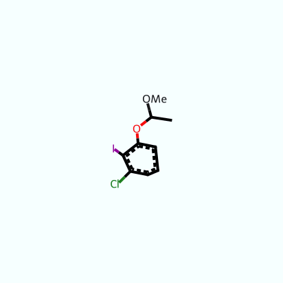 COC(C)Oc1cccc(Cl)c1I